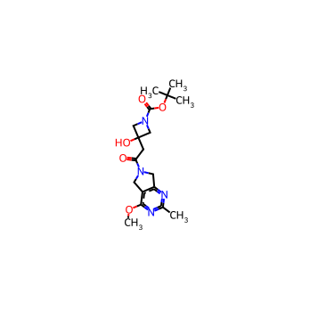 COc1nc(C)nc2c1CN(C(=O)CC1(O)CN(C(=O)OC(C)(C)C)C1)C2